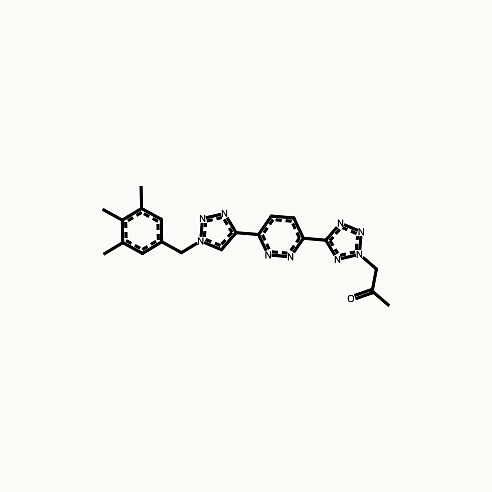 CC(=O)Cn1nnc(-c2ccc(-c3cn(Cc4cc(C)c(C)c(C)c4)nn3)nn2)n1